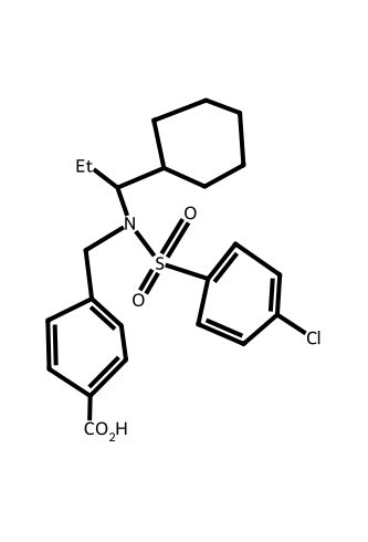 CCC(C1CCCCC1)N(Cc1ccc(C(=O)O)cc1)S(=O)(=O)c1ccc(Cl)cc1